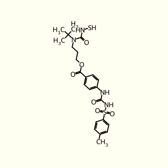 Cc1ccc(S(=O)(=O)NC(=O)Nc2ccc(C(=O)OCCCN(C(=O)NS)C(C)(C)C)cc2)cc1